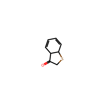 O=C1CSC2C=CC=CC12